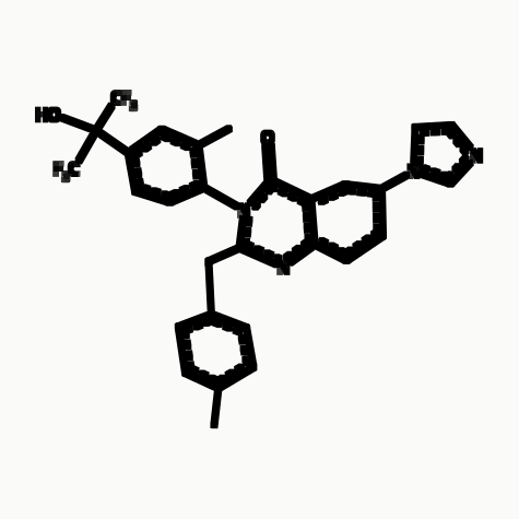 Cc1ccc(Cc2nc3ccc(-n4ccnc4)cc3c(=O)n2-c2ccc(C(O)(C(F)(F)F)C(F)(F)F)cc2C)cc1